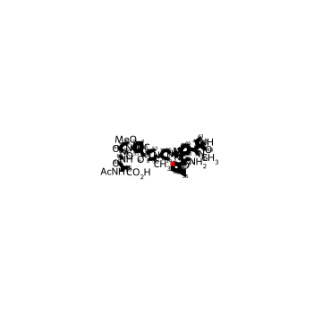 COc1ccc(C(=O)N2C[C@H](C)N(C3CCN(c4nc(C(CN)(OC5CC5)c5ccccc5)c5cc(-c6cn(C)c(=O)c7[nH]ccc67)ccc5n4)CC3)C[C@H]2C)cc1N1CCC(=O)N(CNC(=O)C(CC(=O)O)NC(C)=O)C1=O